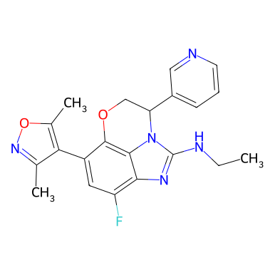 CCNc1nc2c(F)cc(-c3c(C)noc3C)c3c2n1C(c1cccnc1)CO3